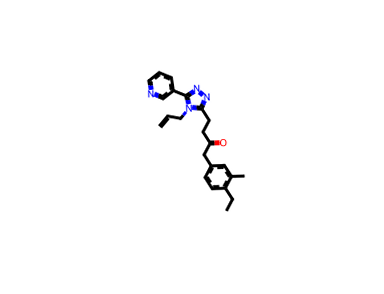 C=CCn1c(CCC(=O)Cc2ccc(CC)c(C)c2)nnc1-c1cccnc1